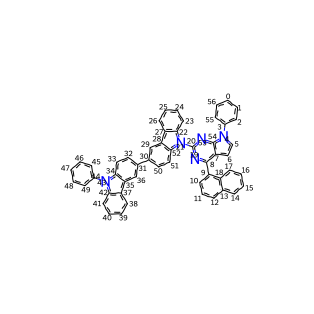 c1ccc(-n2ccc3c(-c4cccc5ccccc45)nc(-n4c5ccccc5c5cc(-c6ccc7c(c6)c6ccccc6n7-c6ccccc6)ccc54)nc32)cc1